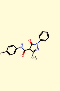 CC(=O)c1ccc(NC(=O)C2C(=O)N(c3ccccc3)N=C2C)cc1